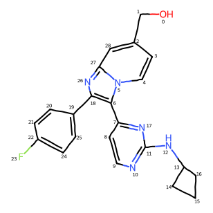 OCc1ccn2c(-c3ccnc(NC4CCC4)n3)c(-c3ccc(F)cc3)nc2c1